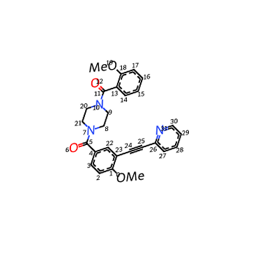 COc1ccc(C(=O)N2CCN(C(=O)c3ccccc3OC)CC2)cc1C#Cc1ccccn1